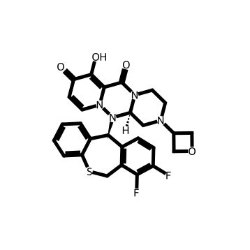 O=C1c2c(O)c(=O)ccn2N([C@@H]2c3ccccc3SCc3c2ccc(F)c3F)[C@@H]2CN(C3COC3)CCN12